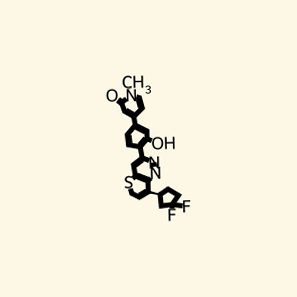 Cn1ccc(-c2ccc(-c3cc4c(nn3)C([C@H]3CCC(F)(F)C3)=CCS4)c(O)c2)cc1=O